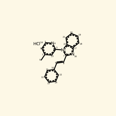 Cc1ccnc(-n2c(C=Cc3ccccc3)nc3ccccc32)c1.Cl